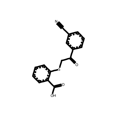 N#Cc1cccc(C(=O)CSc2ccccc2C(=O)O)c1